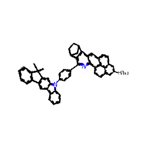 CC(C)(C)c1cc2ccc3cc4c5c(c(-c6ccc(-n7c8ccccc8c8cc9c(cc87)C(C)(C)c7ccccc7-9)cc6)nc4c4ccc(c1)c2c34)C1CCC5C1